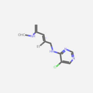 C=C(/C=C(\CC)CNc1ncncc1Cl)NC=O